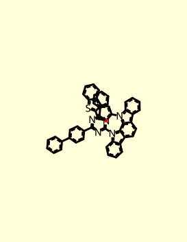 c1ccc(-c2ccc(-c3nc(-c4ccccc4)nc(-n4c5ccccc5c5ccc6c7ccccc7n(-c7ccc8sc9ccccc9c8c7)c6c54)n3)cc2)cc1